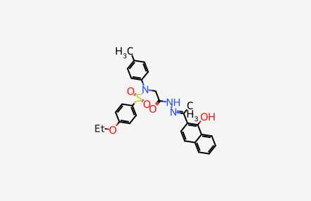 CCOc1ccc(S(=O)(=O)N(CC(=O)NN=C(C)c2ccc3ccccc3c2O)c2ccc(C)cc2)cc1